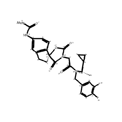 CNC(=O)Nc1ccc2c(c1)CC[C@@]21OC(=O)N(CC(=O)N(Cc2ccc(F)c(F)c2)[C@@H](C)C2CC2)C1=O